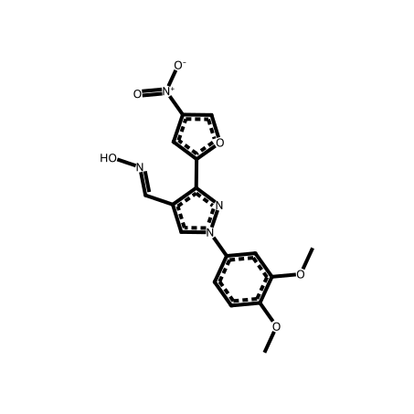 COc1ccc(-n2cc(C=NO)c(-c3cc([N+](=O)[O-])co3)n2)cc1OC